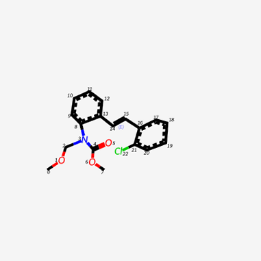 COCN(C(=O)OC)c1ccccc1/C=C/c1ccccc1Cl